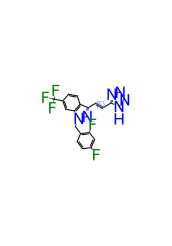 Fc1ccc(Cn2nc(/C=C/c3nnn[nH]3)c3ccc(C(F)(F)F)cc32)c(F)c1